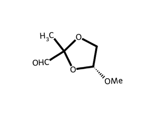 CO[C@H]1COC(C)(C=O)O1